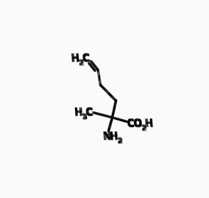 C=CCCC(C)(N)C(=O)O